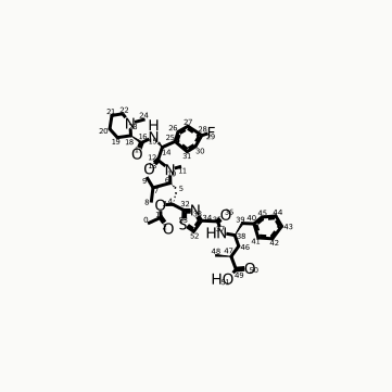 CC(=O)O[C@H](C[C@H](C(C)C)N(C)C(=O)[C@@H](NC(=O)[C@H]1CCCCN1C)c1ccc(F)cc1)c1nc(C(=O)N[C@@H](Cc2ccccc2)C[C@H](C)C(=O)O)cs1